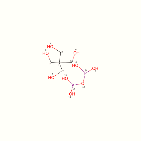 OCC(CO)(CO)CO.OP(O)OP(O)O